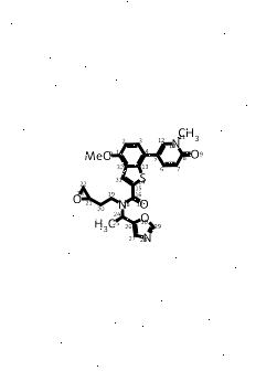 COc1ccc(-c2ccc(=O)n(C)c2)c2sc(C(=O)N(CCC3CO3)C(C)c3cnco3)cc12